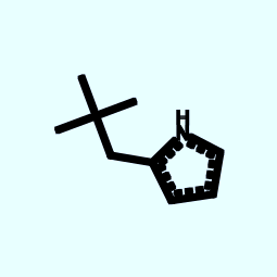 CC(C)(C)Cc1ccc[nH]1